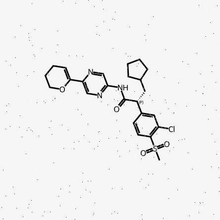 CS(=O)(=O)c1ccc([C@@H](CC2CCCC2)C(=O)Nc2cnc(C3=CCCCO3)cn2)cc1Cl